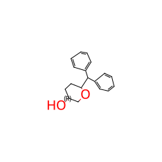 O[C@@H]1CCC(C(c2ccccc2)c2ccccc2)OC1